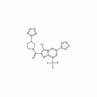 O=C(c1nc2c(C(F)(F)F)cc(-c3ccoc3)cn2c1Cl)N1CCC(c2ncon2)C1